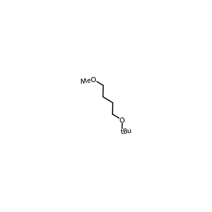 [CH2]OCCCCOC(C)(C)C